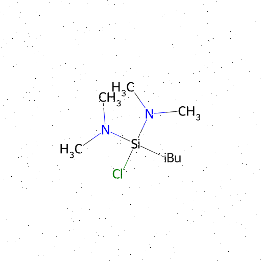 CCC(C)[Si](Cl)(N(C)C)N(C)C